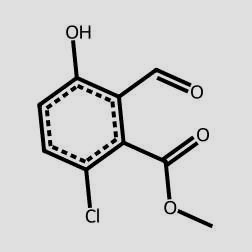 COC(=O)c1c(Cl)ccc(O)c1C=O